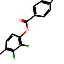 CC(=O)Oc1ccc(C(=O)Oc2ccc(C#N)c(F)c2F)cc1